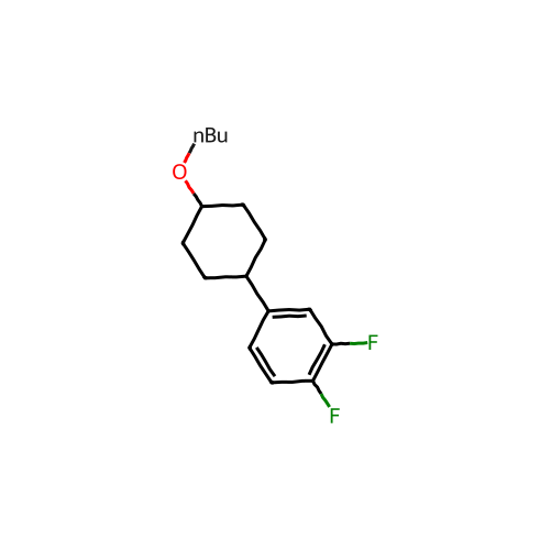 CCCCOC1CCC(c2ccc(F)c(F)c2)CC1